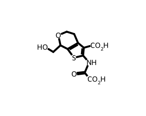 O=C(O)C(=O)Nc1sc2c(c1C(=O)O)CCOC2CO